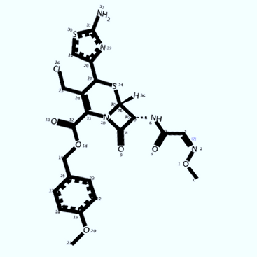 CO/N=C\C(=O)N[C@@H]1C(=O)N2C(C(=O)OCc3ccc(OC)cc3)=C(CCl)C(c3csc(N)n3)S[C@H]12